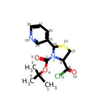 CC(C)(C)OC(=O)N1C(C(=O)Cl)CSC1c1cccnc1